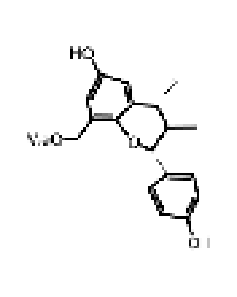 COCc1cc(O)cc2c1O[C@@H](c1ccc(O)cc1)C(C)[C@H]2C